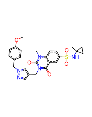 COc1ccc(Cn2cc(Cn3c(=O)c4cc(S(=O)(=O)NC5(C)CC5)ccc4n(C)c3=O)cn2)cc1